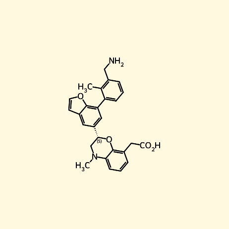 Cc1c(CN)cccc1-c1cc([C@H]2CN(C)c3cccc(CC(=O)O)c3O2)cc2ccoc12